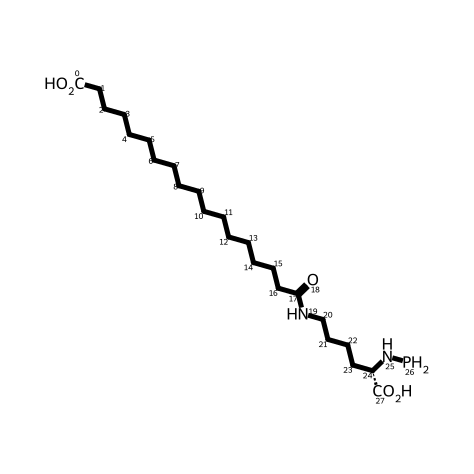 O=C(O)CCCCCCCCCCCCCCCCC(=O)NCCCC[C@H](NP)C(=O)O